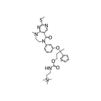 CSc1ncc2c(n1)N(C)CCN(c1cccc(OC(C)(CCOC(=O)NCC[Si](C)(C)C)c3cccs3)c1)C2=O